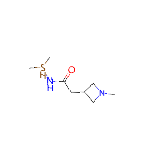 CN1CC(CC(=O)N[SH](C)C)C1